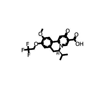 COc1cc2c(cc1OCC(F)(F)F)C[C@H](C(C)C)n1cc(C(=O)O)c(=O)cc1-2